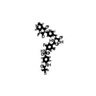 Cn1c(=O)n(-c2ccc(C[C@H](NC(=O)c3cc(F)c(NS(=O)(=O)c4ccc(NC(=O)C(C)(C)C)cc4)cc3F)C(=O)O)cn2)c(=O)c2ccncc21